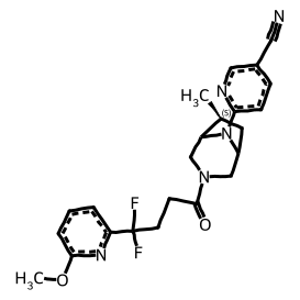 COc1cccc(C(F)(F)CCC(=O)N2CC3C[C@H](C)C(C2)N3c2ccc(C#N)cn2)n1